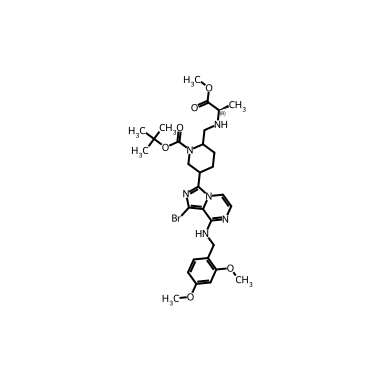 COC(=O)[C@@H](C)NCC1CCC(c2nc(Br)c3c(NCc4ccc(OC)cc4OC)nccn23)CN1C(=O)OC(C)(C)C